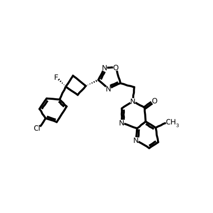 Cc1ccnc2ncn(Cc3nc([C@H]4C[C@](F)(c5ccc(Cl)cc5)C4)no3)c(=O)c12